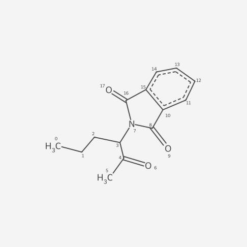 CCCC(C(C)=O)N1C(=O)c2ccccc2C1=O